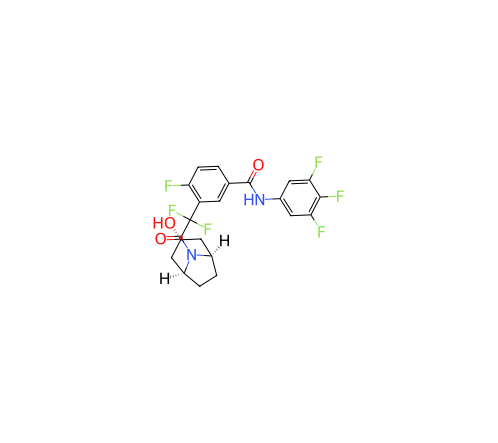 O=C(Nc1cc(F)c(F)c(F)c1)c1ccc(F)c(C(F)(F)C(=O)N2[C@@H]3CC[C@H]2C[C@H](O)C3)c1